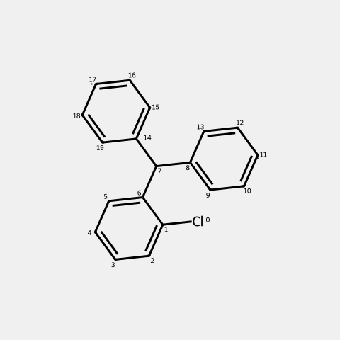 Clc1ccccc1C(c1cc[c]cc1)c1cc[c]cc1